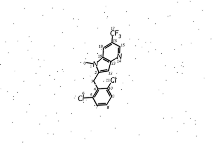 Cn1c(Cc2c(Cl)[c]ccc2Cl)cc2ncc(C(F)(F)F)cc21